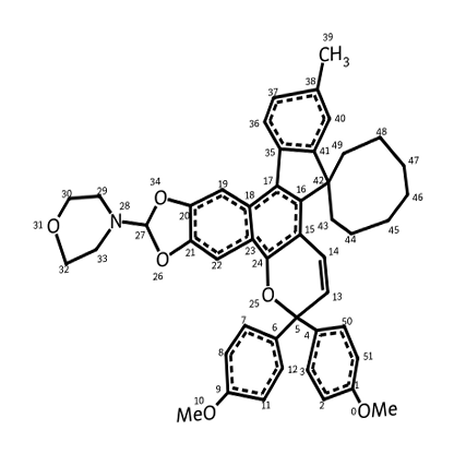 COc1ccc(C2(c3ccc(OC)cc3)C=Cc3c4c(c5cc6c(cc5c3O2)OC(N2CCOCC2)O6)-c2ccc(C)cc2C42CCCCCCC2)cc1